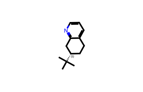 CC(C)(C)[C@H]1CCc2cccnc2C1